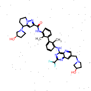 Cc1c(NC(=O)c2cc3n(n2)CCCC3N2CC[C@@H](O)C2)cccc1-c1cccc(Nc2nc(C(F)F)nc3cc(CN4CC[C@@H](O)C4)cnc23)c1C